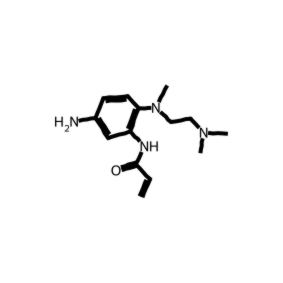 C=CC(=O)Nc1cc(N)ccc1N(C)CCN(C)C